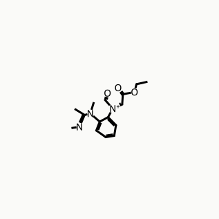 CCOC(=O)C=[N+](C=O)c1ccccc1N(C)C(C)=NC